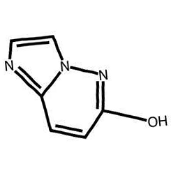 Oc1ccc2nccn2n1